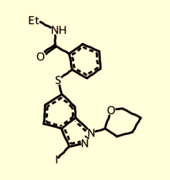 CCNC(=O)c1ccccc1Sc1ccc2c(I)nn(C3CCCCO3)c2c1